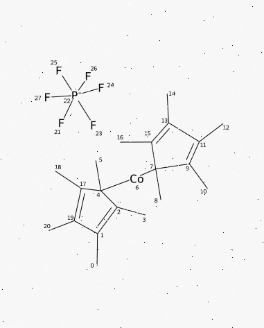 CC1=C(C)[C](C)([Co][C]2(C)C(C)=C(C)C(C)=C2C)C(C)=C1C.F[P-](F)(F)(F)(F)F